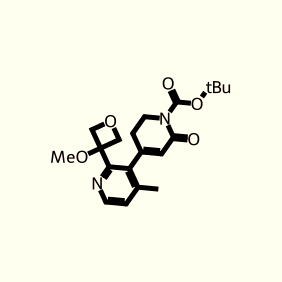 COC1(c2nccc(C)c2C2=CC(=O)N(C(=O)OC(C)(C)C)CC2)COC1